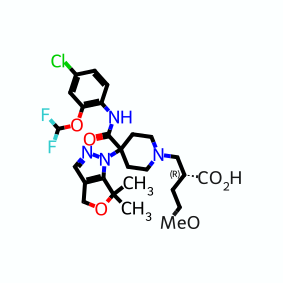 COCC[C@H](CN1CCC(C(=O)Nc2ccc(Cl)cc2OC(F)F)(n2ncc3c2C(C)(C)OC3)CC1)C(=O)O